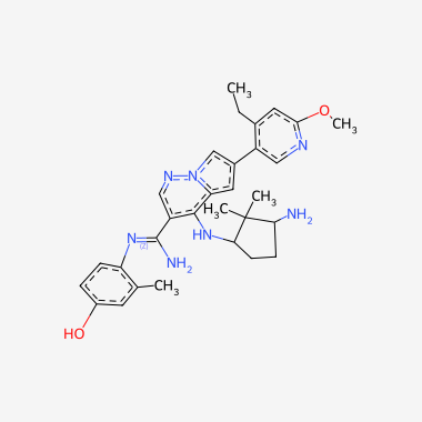 CCc1cc(OC)ncc1-c1cc2c(NC3CCC(N)C3(C)C)c(/C(N)=N/c3ccc(O)cc3C)cnn2c1